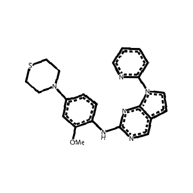 COc1cc(N2CCSCC2)ccc1Nc1ncc2ccn(-c3ccccn3)c2n1